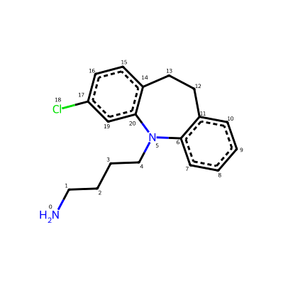 NCCCCN1c2ccccc2CCc2ccc(Cl)cc21